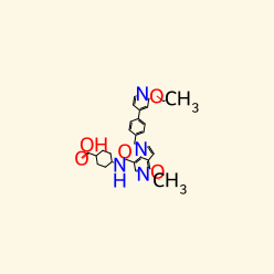 CCOc1cc(-c2ccc(Cn3ccc4c(OC)ncc(C(=O)NC5CCC(C(=O)O)CC5)c43)cc2)ccn1